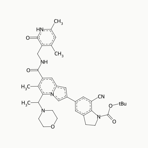 Cc1cc(C)c(CNC(=O)c2cc3cc(-c4cc(C#N)c5c(c4)CCN5C(=O)OC(C)(C)C)cn3c(C(C)N3CCOCC3)c2C)c(=O)[nH]1